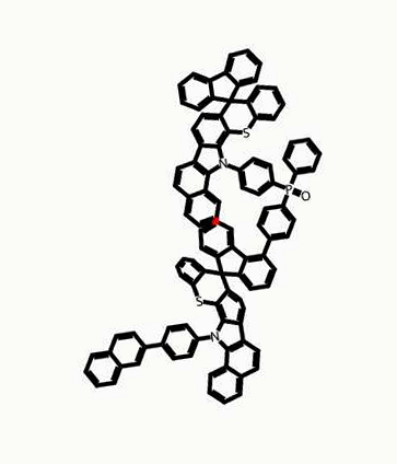 O=P(c1ccccc1)(c1ccc(-c2cccc3c2-c2ccccc2C32c3ccccc3Sc3c2ccc2c4ccc5ccccc5c4n(-c4ccc(-c5ccc6ccccc6c5)cc4)c32)cc1)c1ccc(-n2c3c4c(ccc3c3ccc5ccccc5c32)C2(c3ccccc3S4)c3ccccc3-c3ccccc32)cc1